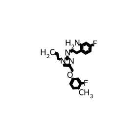 C=CCn1cc(COC2=CCC(C)C(F)=C2)nc1/N=C\Cc1ccc(F)cc1N